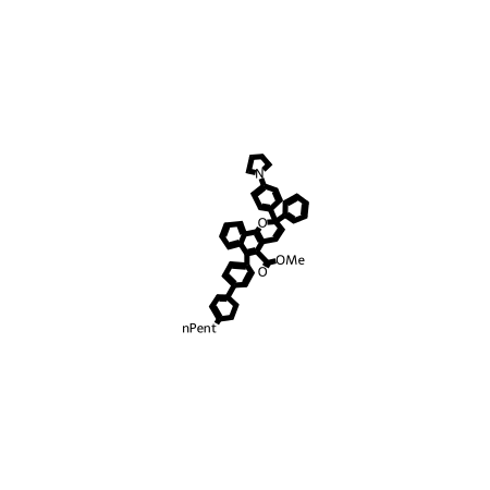 CCCCCC1=CC=C(c2ccc(-c3c(C(=O)OC)c4c(c5ccccc35)OC(c3ccccc3)(c3ccc(N5CCCC5)cc3)C=C4)cc2)CC1